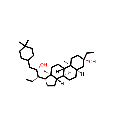 CC[C@@H]([C@H]1CC[C@H]2[C@@H]3CC[C@@H]4C[C@](O)(CC)CC[C@]4(C)[C@H]3CC[C@]12C)[C@@H](O)CC1CCC(C)(C)CC1